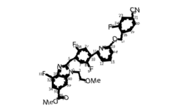 COCCn1c(Cc2cc(F)c(-c3cccc(OCc4ccc(C#N)cc4F)n3)cc2F)nc2c(F)cc(C(=O)OC)cc21